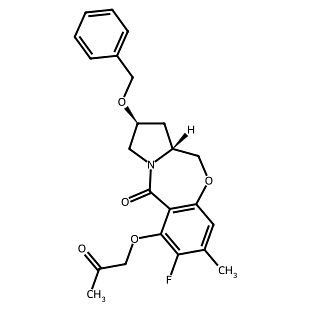 CC(=O)COc1c(F)c(C)cc2c1C(=O)N1C[C@@H](OCc3ccccc3)C[C@@H]1CO2